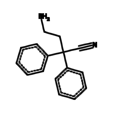 BCCC(C#N)(c1ccccc1)c1ccccc1